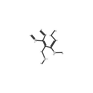 C=C/C(N=C)=C(COC)\C(=C/CC)OC